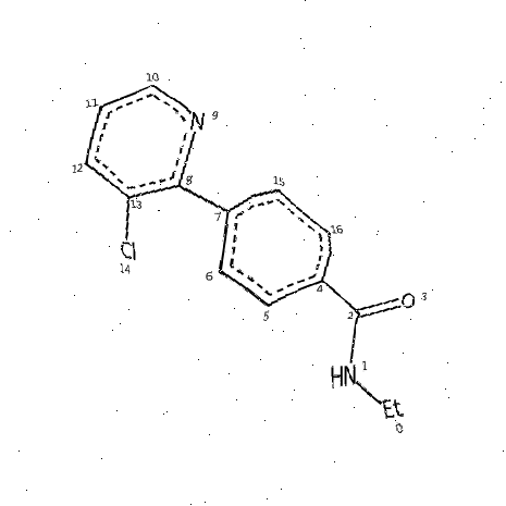 CCNC(=O)c1ccc(-c2ncccc2Cl)cc1